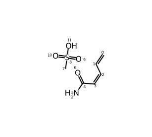 C=C/C=C\C(N)=O.CS(=O)(=O)O